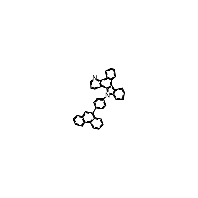 c1ccc2c(c1)cc(-c1ccc(-n3c4ccccc4c4c5ccccc5c5ncccc5c43)cc1)c1ccccc12